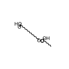 CCCCCCc1ccc(OCCCCCCCCCCCCCCCC(=O)O)cc1O